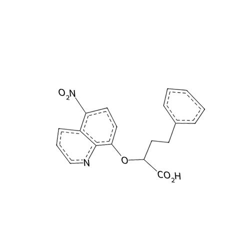 O=C(O)C(CCc1ccccc1)Oc1ccc([N+](=O)[O-])c2cccnc12